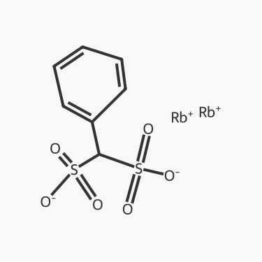 O=S(=O)([O-])C(c1ccccc1)S(=O)(=O)[O-].[Rb+].[Rb+]